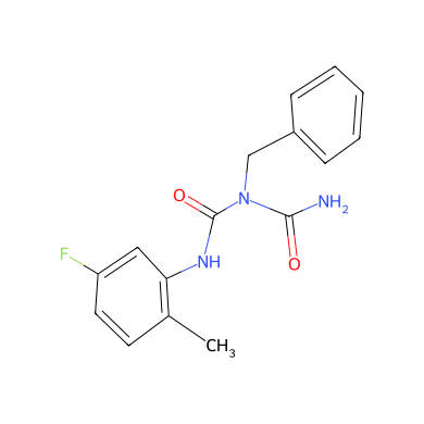 Cc1ccc(F)cc1NC(=O)N(Cc1ccccc1)C(N)=O